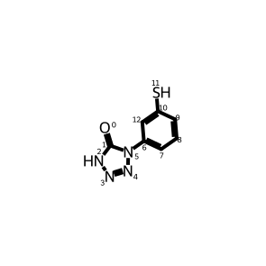 O=c1[nH]nnn1-c1cccc(S)c1